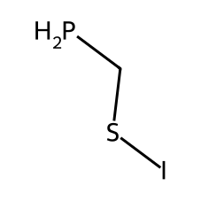 PCSI